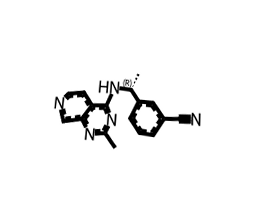 Cc1nc(N[C@H](C)c2cccc(C#N)c2)c2ccncc2n1